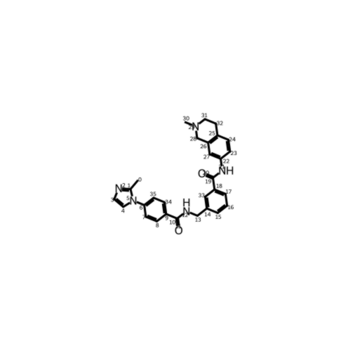 Cc1nccn1-c1ccc(C(=O)NCc2cccc(C(=O)Nc3ccc4c(c3)CN(C)CC4)c2)cc1